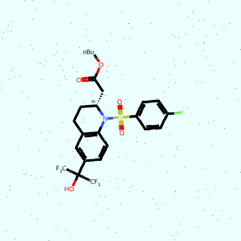 CCCCOC(=O)C[C@H]1CCc2cc(C(O)(C(F)(F)F)C(F)(F)F)ccc2N1S(=O)(=O)c1ccc(F)cc1